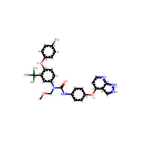 COCN(C(=O)Nc1ccc(Oc2ccnc3[nH]ncc23)cc1)c1ccc(Oc2ccc(F)cc2)c(C(F)(F)F)c1